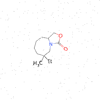 CCC1(C)CCCCC2COC(=O)N2C1